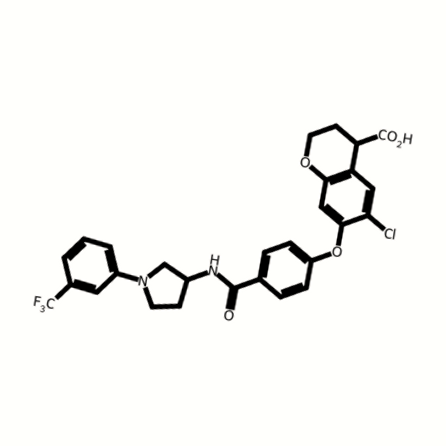 O=C(NC1CCN(c2cccc(C(F)(F)F)c2)C1)c1ccc(Oc2cc3c(cc2Cl)C(C(=O)O)CCO3)cc1